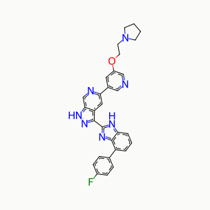 Fc1ccc(-c2cccc3[nH]c(-c4n[nH]c5cnc(-c6cncc(OCCN7CCCC7)c6)cc45)nc23)cc1